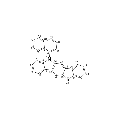 c1ccc2c(-n3c4ccccc4c4cc5sc6ccccc6c5cc43)cccc2c1